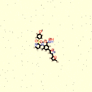 COc1ccc(S(=O)(=O)c2ncccc2N(C)c2c(C)cc(-c3cc(-c4ccc(C)o4)no3)cc2C(=O)NO)cc1